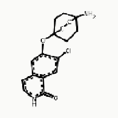 NC12CCC(Oc3cc4cc[nH]c(=O)c4cc3Cl)(CC1)CC2